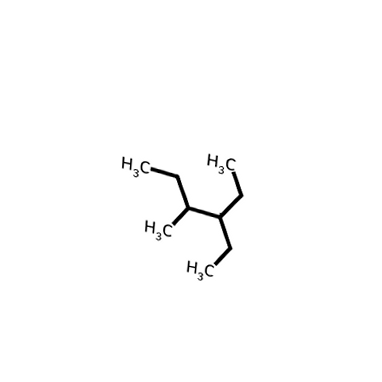 CC[C](CC)C(C)CC